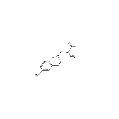 CC(=O)C(N)CN1CCc2cc(N)ccc2C1